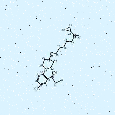 CCC(=O)c1cc(Cl)ccc1N1CCC(OCCCCCN(C)C2CC2)CC1